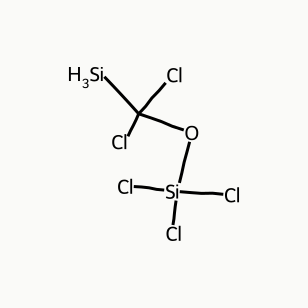 [SiH3]C(Cl)(Cl)O[Si](Cl)(Cl)Cl